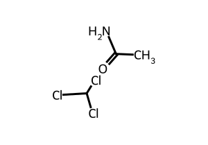 CC(N)=O.ClC(Cl)Cl